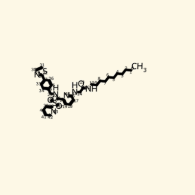 CCCCCCCCCCCNC(=O)CNc1cccc(C(NCc2ccc(-c3nccs3)cc2)S(=O)(=O)c2ccccn2)n1